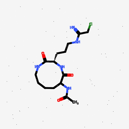 CC(=O)NC1CCCCNC(=O)[C@H](CCCNC(=N)CCl)NC1=O